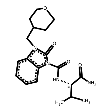 CC(C)[C@H](NC(=O)n1c(=O)n(CC2CCOCC2)c2ccccc21)C(N)=O